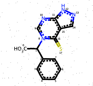 O=C(O)C(c1ccccc1)n1cnc2[nH]ncc2c1=S